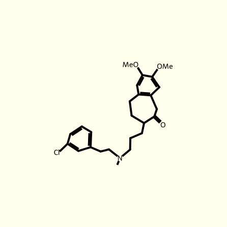 COc1cc2c(cc1OC)CC(=O)C(CCCN(C)CCc1cccc(Cl)c1)CC2